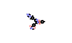 Cc1ccc(S(=O)(=O)n2cc(-c3ccc4c(c3)OCCN(C)C4=O)c3cc(-c4cc(C)c(N5CCN(C)CC5)c(C)c4)cnc32)cc1